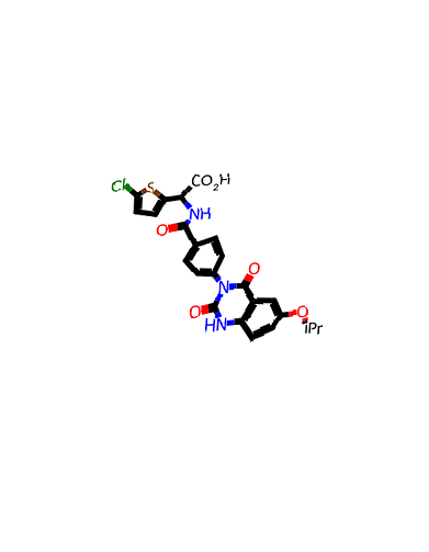 CC(C)Oc1ccc2[nH]c(=O)n(-c3ccc(C(=O)NC(C(=O)O)c4ccc(Cl)s4)cc3)c(=O)c2c1